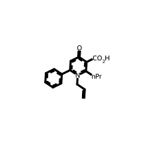 C=CCn1c(-c2ccccc2)cc(=O)c(C(=O)O)c1CCC